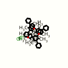 CC1=C(C)C(C)([Si](c2cc(C)c(-c3ccccc3)c(C)c2-c2ccccc2)(c2cc(C)c(-c3ccccc3)c(C)c2-c2ccccc2)c2cc(C)c(-c3ccccc3)c(C)c2-c2ccccc2)[C]([Ti+3])=C1C.[Cl-].[Cl-].[Cl-]